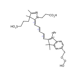 CCC[N+]1=C(/C=C/C=C/C=C2\N(CCC(=O)O)N=C(C)C2(C)CCCS(=O)(=O)O)C(C)(C)c2cc(SOOO)ccc21